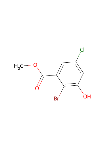 COC(=O)c1cc(Cl)cc(O)c1Br